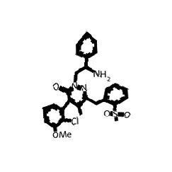 COc1cccc(-c2c(C)c(Cc3ccccc3S(C)(=O)=O)nn(CC(N)c3ccccc3)c2=O)c1Cl